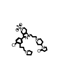 CS(=O)(=O)N1CCc2c(c(-c3ccc(Cl)c(CCCN4CCCC4)c3)nn2CCCN2CCC(N3CCCC3=O)CC2)C1